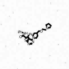 CC(C)NC(=O)c1sc2ncnc(N3CCC(COCCN4CCCC4)CC3)c2c1C(C)C